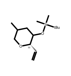 C=C[C@@H]1OCC(C)CC1O[Si](C)(C)C(C)(C)C